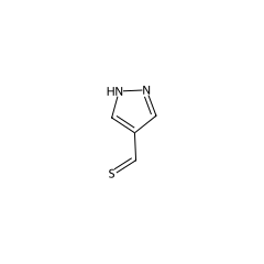 S=Cc1cn[nH]c1